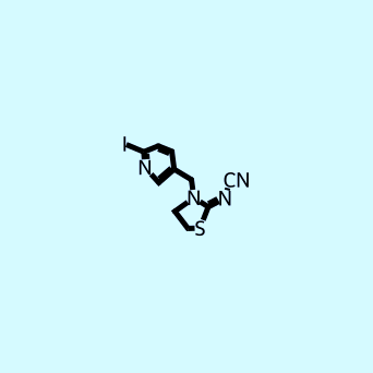 N#C/N=C1/SCCN1Cc1ccc(I)nc1